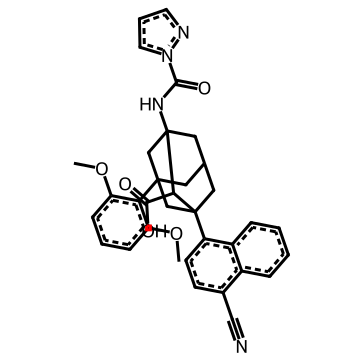 COc1cccc(OC)c1C12CC3CC(NC(=O)n4cccn4)(C1)C(C(=O)O)C(c1ccc(C#N)c4ccccc14)(C3)C2